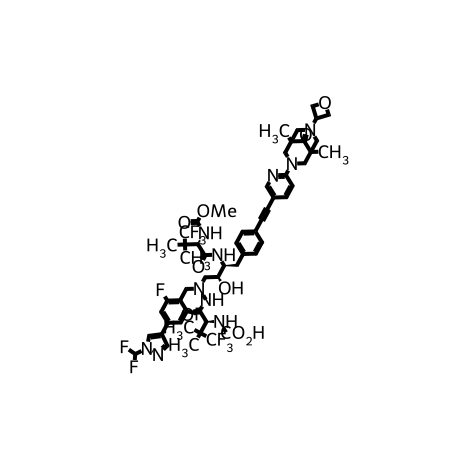 COC(=O)N[C@H](C(=O)N[C@@H](Cc1ccc(C#Cc2ccc(N3CC4(C)CN(C5COC5)CC(C)(C3)C4=O)nc2)cc1)[C@@H](O)CN(Cc1c(F)cc(-c2cnn(C(F)F)c2)cc1F)NC(=O)[C@@H](NC(=O)O)C(C)(C)C(F)(F)F)C(C)(C)C(F)(F)F